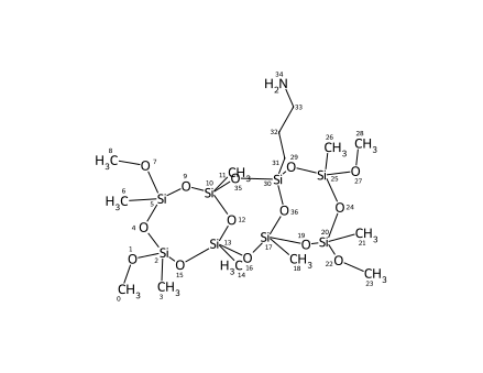 CO[Si]1(C)O[Si](C)(OC)O[Si]2(C)O[Si](C)(O1)O[Si]1(C)O[Si](C)(OC)O[Si](C)(OC)O[Si](CCCN)(O2)O1